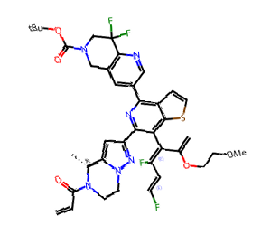 C=CC(=O)N1CCn2nc(-c3nc(-c4cnc5c(c4)CN(C(=O)OC(C)(C)C)CC5(F)F)c4ccsc4c3/C(C(=C)OCCOC)=C(F)/C=C/F)cc2[C@H]1C